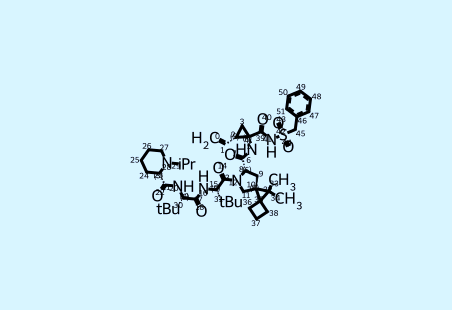 C=C[C@@H]1C[C@]1(NC(=O)[C@@H]1C[C@@]2(CN1C(=O)[C@@H](NC(=O)[C@@H](NC(=O)[C@@H]1CCCCN1C(C)C)C(C)(C)C)C(C)(C)C)C(C)(C)C21CCC1)C(=O)NS(=O)(=O)Cc1ccccc1